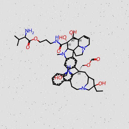 CCC1(O)CC2CN(CCc3c([nH]c4ccccc34)[C@@](COC=O)(c3cc4c(cc3CO)N(C)C3C45CCN4CC=C[C@](CC)(C45)[C@@H](O)[C@]3(O)C(=O)NCCCOC(=O)C(N)C(C)C)C2)C1